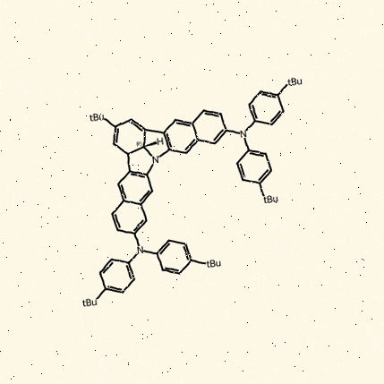 CC(C)(C)C1=CC2c3cc4ccc(N(c5ccc(C(C)(C)C)cc5)c5ccc(C(C)(C)C)cc5)cc4cc3N3c4cc5cc(N(c6ccc(C(C)(C)C)cc6)c6ccc(C(C)(C)C)cc6)ccc5cc4C(=C1)[C@@H]23